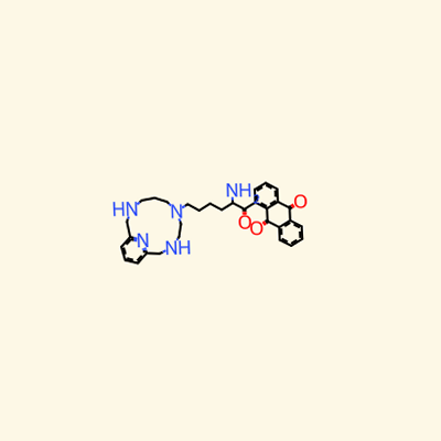 NC(CCCCN1CCCNCc2cccc(n2)CNCC1)C(=O)c1cccc2c1C(=O)c1ccccc1C2=O